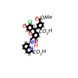 COC(=O)c1ccc(C(=O)O)c(-c2c3cc(Cl)c(=O)cc-3oc3c(CNc4cccc5ccc(C(=O)O)nc45)c(O)ccc23)c1